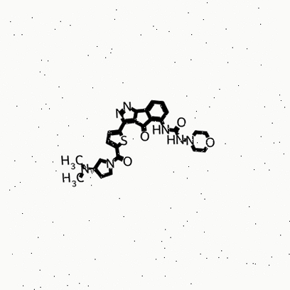 CN(C)[C@@H]1CCN(C(=O)c2ccc(C3=C4C(=O)c5c(NC(=O)NN6CCOCC6)cccc5C4N=N3)s2)C1